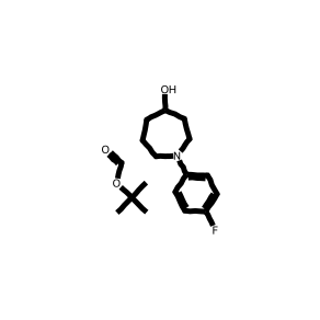 CC(C)(C)OC=O.OC1CCCN(c2ccc(F)cc2)CC1